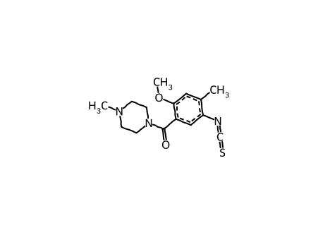 COc1cc(C)c(N=C=S)cc1C(=O)N1CCN(C)CC1